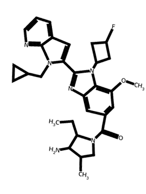 CCC1C(N)C(C)CN1C(=O)c1cc(OC)c2c(c1)nc(-c1cc3cccnc3n1CC1CC1)n2C1CC(F)C1